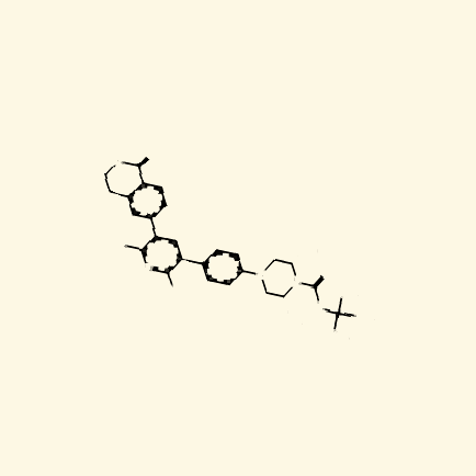 C[C@@H]1CN(c2ccc(-c3cc(-c4ccc5c(c4)CCNC5=O)c(N)nc3F)cc2)C[C@H](C)N1C(=O)OC(C)(C)C